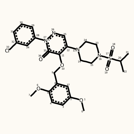 COc1ccc(OC)c(COc2c(N3CCN(S(=O)(=O)C(C)C)CC3)cnn(-c3cccc(Cl)c3)c2=O)c1